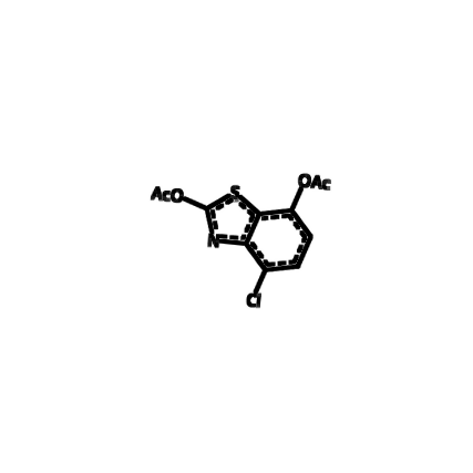 CC(=O)Oc1nc2c(Cl)ccc(OC(C)=O)c2s1